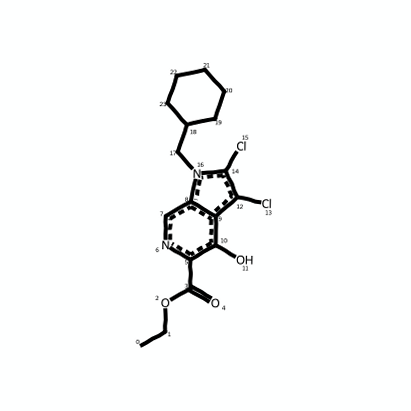 CCOC(=O)c1ncc2c(c1O)c(Cl)c(Cl)n2CC1CCCCC1